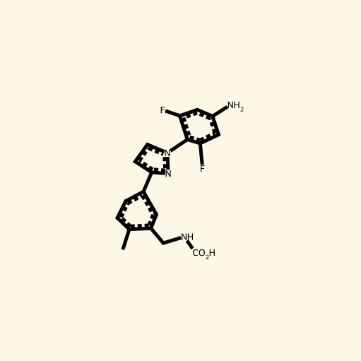 Cc1ccc(-c2ccn(-c3c(F)cc(N)cc3F)n2)cc1CNC(=O)O